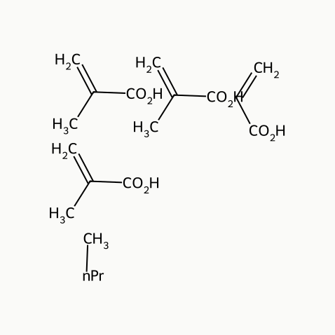 C=C(C)C(=O)O.C=C(C)C(=O)O.C=C(C)C(=O)O.C=CC(=O)O.CCCC